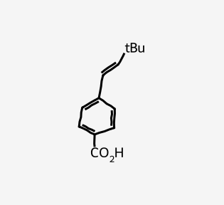 CC(C)(C)C=Cc1ccc(C(=O)O)cc1